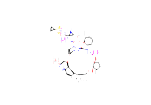 C=C[C@@H]1C[C@]1(NC(=O)[C@@H]1C[C@@H]2CN1C(=O)[C@H](C1CCCCC1)NC(=O)O[C@@H]1CCC[C@H]1OCCCc1cc3c(cc(OCC)nc3cc1OC)O2)C(=O)NS(=O)(=O)C1CC1